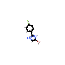 Fc1ccc(-c2nc(Br)c[nH]2)cc1